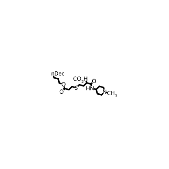 CCCCCCCCCCCCCOC(=O)CCSCCC(C(=O)O)C(=O)NC1CCN(C)CC1